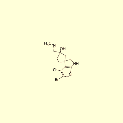 C/N=C/[C@@]1(O)CC[C@@]2(CNc3ncc(Br)c(Cl)c32)C1